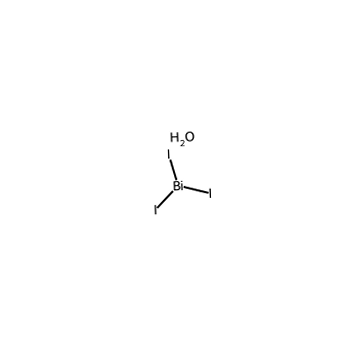 O.[I][Bi]([I])[I]